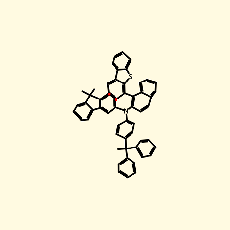 CC1(C)c2ccccc2-c2cc(N(c3ccc(C(C)(c4ccccc4)c4ccccc4)cc3)c3ccc4ccccc4c3-c3cccc4c3sc3ccccc34)ccc21